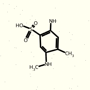 CNc1cc(S(=O)(=O)O)c([NH])cc1C